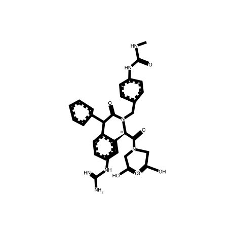 CNC(=O)Nc1ccc(CN(C(=O)C(c2ccccc2)c2ccccc2)[C@H](CCCNC(=N)N)C(=O)N(CC(=O)O)CC(=O)O)cc1